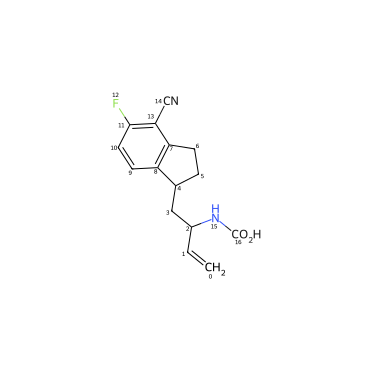 C=CC(CC1CCc2c1ccc(F)c2C#N)NC(=O)O